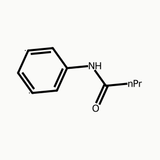 CCCC(=O)Nc1c[c]c[c]c1